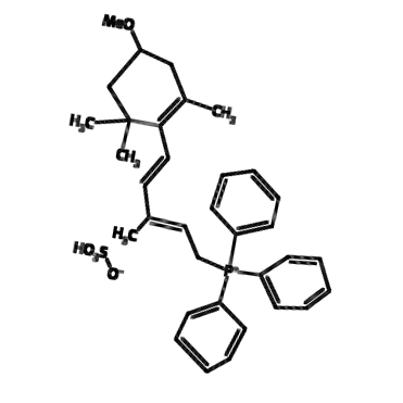 COC1CC(C)=C(C=CC(C)=CC[P+](c2ccccc2)(c2ccccc2)c2ccccc2)C(C)(C)C1.O=S(=O)([O-])O